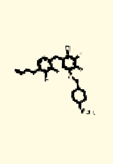 C=CCCc1ccc(Cc2cc(OCC3CCC(CCCCC)CC3)c(F)c(F)c2O)c(F)c1F